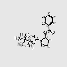 CC(C)(C)[Si](C)(C)OC[C@@H]1OCC[C@@H]1OC(=O)c1ccccc1